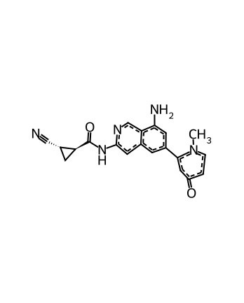 Cn1ccc(=O)cc1-c1cc(N)c2cnc(NC(=O)[C@H]3C[C@@H]3C#N)cc2c1